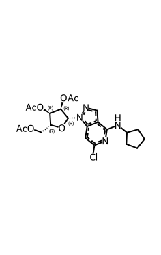 CC(=O)OC[C@H]1O[C@@H](n2ncc3c(NC4CCCC4)nc(Cl)cc32)[C@H](OC(C)=O)[C@@H]1OC(C)=O